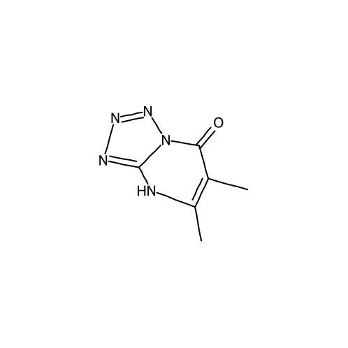 Cc1[nH]c2nnnn2c(=O)c1C